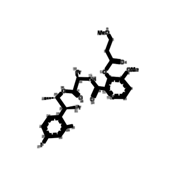 COCCC(=O)Oc1c(OC)ccnc1C(=O)N[C@H](C(=O)O[C@@H](C)[C@H](c1ccc(F)cc1C)C(C)C)C(C)C